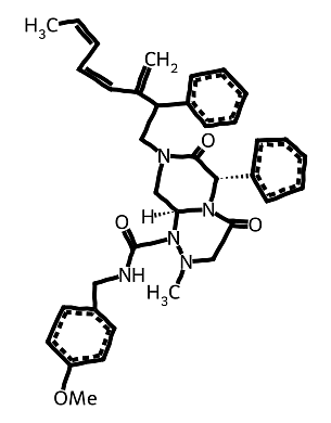 C=C(/C=C\C=C/C)C(CN1C[C@H]2N(C(=O)CN(C)N2C(=O)NCc2ccc(OC)cc2)[C@@H](c2ccccc2)C1=O)c1ccccc1